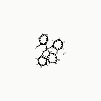 Ic1ccccc1[P+](Cc1ccccc1)(c1ccccc1)c1ccccc1.[Br-]